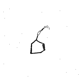 O=[N+]([O-])OC1C=CCCC1